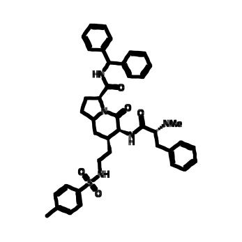 CN[C@H](Cc1ccccc1)C(=O)N[C@@H]1C(=O)N2C(CC[C@H]2C(=O)NC(c2ccccc2)c2ccccc2)C[C@@H]1CCNS(=O)(=O)c1ccc(C)cc1